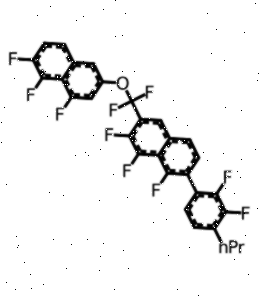 CCCc1ccc(-c2ccc3cc(C(F)(F)Oc4cc(F)c5c(F)c(F)ccc5c4)c(F)c(F)c3c2F)c(F)c1F